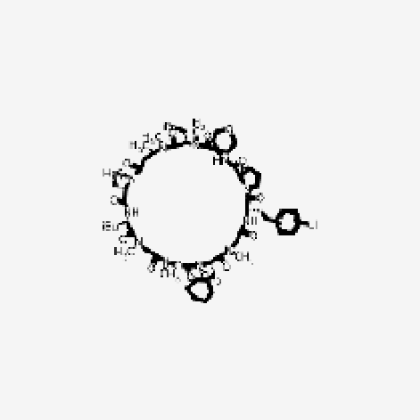 CC[C@H](C)[C@@H]1NC(=O)[C@H](CC(C)C)N(C)C(=O)C[C@@H](C)N(C)C(=O)[C@H](CC(C)C)N(C)C(=O)C2(CCOCC2)NC(=O)[C@@H]2CCCN2C(=O)[C@H](CCc2ccc(Cl)cc2)NC(=O)CN(C)C(=O)[C@H](CC2CCCCC2)N(C)C(=O)CN(C)C(=O)CN(C)C1=O